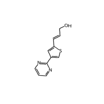 OC/C=C/c1cc(-c2ncccn2)cs1